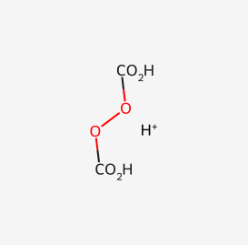 O=C(O)OOC(=O)O.[H+]